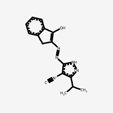 [C-]#[N+]c1c(C(C)C)n[nH]c1/N=N/C1=C(O)c2ccccc2C1